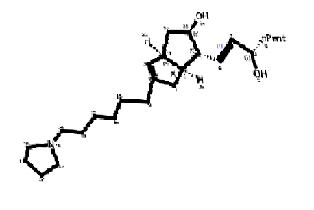 CCCCC[C@H](O)/C=C/[C@@H]1[C@H]2CC(CCCCCCN3CCCC3)=C[C@H]2C[C@H]1O